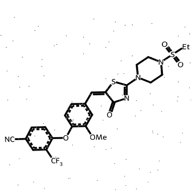 CCS(=O)(=O)N1CCN(C2=NC(=O)/C(=C\c3ccc(Oc4ccc(C#N)cc4C(F)(F)F)c(OC)c3)S2)CC1